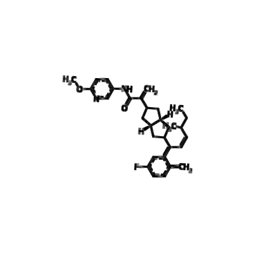 C=C(C(=O)Nc1ccc(OC)nc1)C1C[C@@H]2CC(C(/C=C\C(C)CC)=c3\cc(F)ccc3=C)C[C@@H]2C1